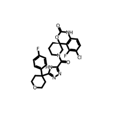 O=C1Nc2ccc(Cl)c(F)c2[C@@]2(CCCN(C(=O)c3nnc(C4(c5ccc(F)cc5)CCOCC4)[nH]3)C2)O1